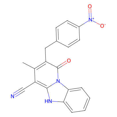 Cc1c(Cc2ccc([N+](=O)[O-])cc2)c(=O)n2c([nH]c3ccccc32)c1C#N